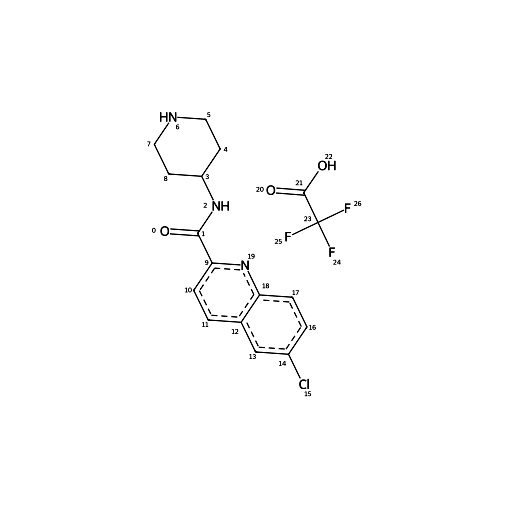 O=C(NC1CCNCC1)c1ccc2cc(Cl)ccc2n1.O=C(O)C(F)(F)F